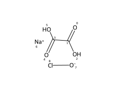 O=C(O)C(=O)O.[Na+].[O-]Cl